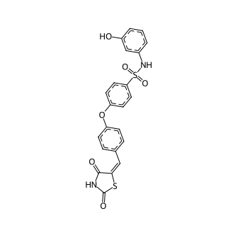 O=C1NC(=O)/C(=C\c2ccc(Oc3ccc(S(=O)(=O)Nc4cccc(O)c4)cc3)cc2)S1